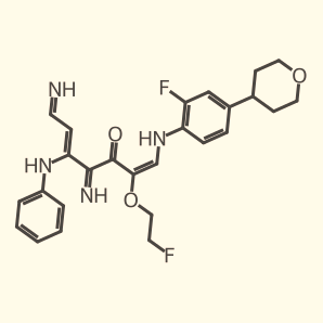 N=C/C=C(\Nc1ccccc1)C(=N)C(=O)/C(=C\Nc1ccc(C2CCOCC2)cc1F)OCCF